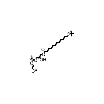 CN(C)CCO[PH](=O)OC[C@H](O)COC(=O)CCCCCCCCCCCSC(C)(C)C